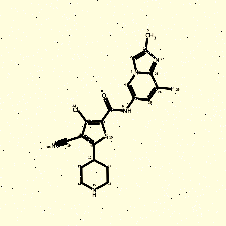 Cc1cn2cc(NC(=O)c3sc(C4CCNCC4)c(C#N)c3Cl)cc(F)c2n1